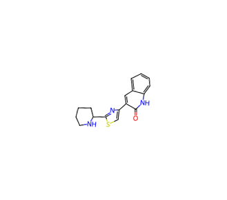 O=c1[nH]c2ccccc2cc1-c1csc(C2CCCCN2)n1